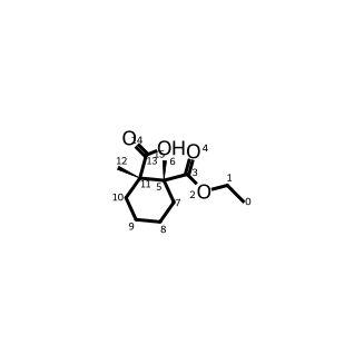 CCOC(=O)[C@]1(C)CCCC[C@]1(C)C(=O)O